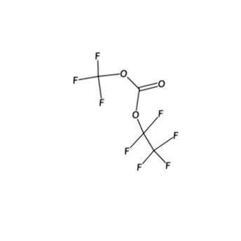 O=C(OC(F)(F)F)OC(F)(F)C(F)(F)F